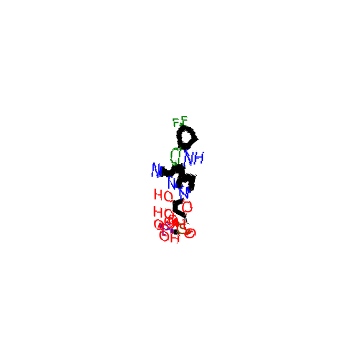 N#Cc1nc2c(ccn2[C@@H]2O[C@H](CS(=O)(=O)CP(=O)(O)O)[C@@H](O)[C@H]2O)c(NC2CCC(F)(F)CC2)c1Cl